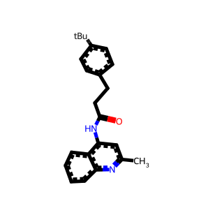 Cc1cc(NC(=O)CCc2ccc(C(C)(C)C)cc2)c2ccccc2n1